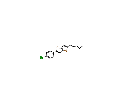 CCCCCc1cc2sc(-c3ccc(Br)cc3)cc2s1